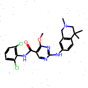 COc1nc(Nc2ccc3c(c2)CN(C)CC3(C)C)ncc1C(=O)Nc1c(Cl)cccc1Cl